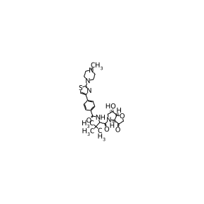 CN1CCN(c2nc(-c3ccc(C(=O)NC(C(=O)N4C[C@H](O)[C@H]5OCC(=O)[C@H]54)C(C)(C)C)cc3)cs2)CC1